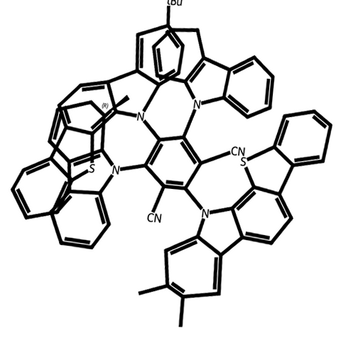 Cc1cc2c3ccc4c5ccccc5sc4c3n(-c3c(C#N)c(-n4c5c(c6ccccc64)CCC=C5)c(-n4c5ccc(C(C)(C)C)cc5c5ccc6c7ccccc7sc6c54)c(-n4c5c(c6ccccc64)C=CC[C@H]5C)c3C#N)c2cc1C